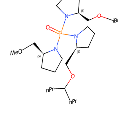 CCCC(CCC)OC[C@@H]1CCCN1P(=O)(N1CCC[C@H]1COC)N1CCC[C@H]1COC(C)CC